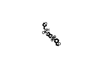 O=C(NCC1CCOC1)N1CC2=C(C1)CN(S(=O)(=O)c1ccc3occc3c1)C2